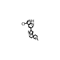 CN1CCC2(CCn3nc(-c4cnc5[nH]cc(Cl)c5c4)cc32)C1